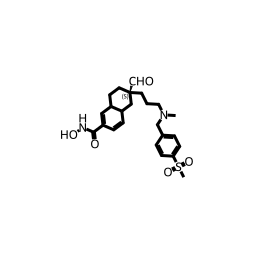 CN(CCC[C@@]1(C=O)CCC2C=C(C(=O)NO)C=CC2C1)Cc1ccc(S(C)(=O)=O)cc1